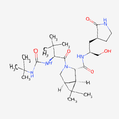 CC(C)(C)NC(=O)N[C@H](C(=O)N1C[C@H]2[C@@H]([C@H]1C(=O)N[C@H](CO)C[C@@H]1CCNC1=O)C2(C)C)C(C)(C)C